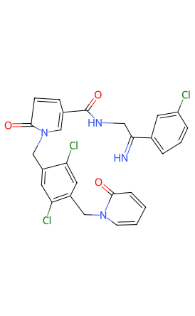 N=C(CNC(=O)c1ccc(=O)n(Cc2cc(Cl)c(Cn3ccccc3=O)cc2Cl)c1)c1cccc(Cl)c1